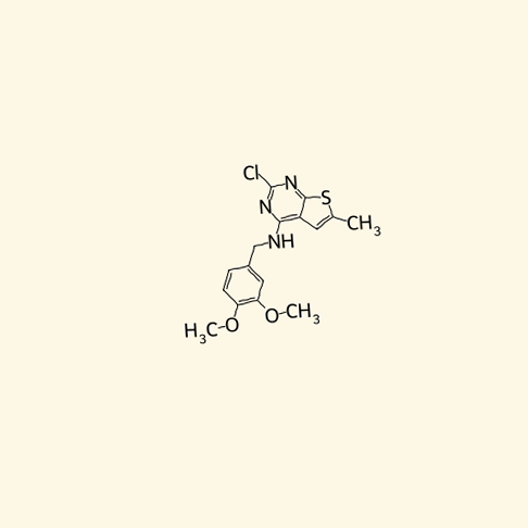 COc1ccc(CNc2nc(Cl)nc3sc(C)cc23)cc1OC